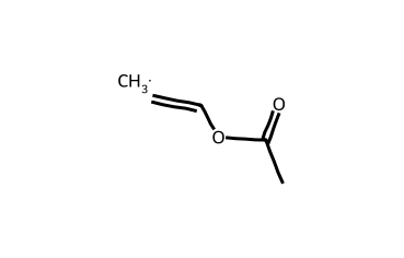 C=COC(C)=O.[CH3]